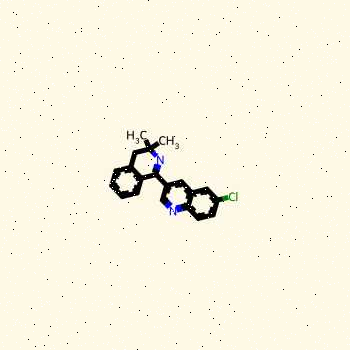 CC1(C)Cc2ccccc2C(c2cnc3ccc(Cl)cc3c2)=N1